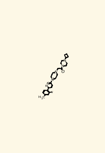 Cc1ccc(-c2ccc(N3CCN(CC(=O)N4CCN(C5CCC5)CC4)CC3)nn2)c(F)c1